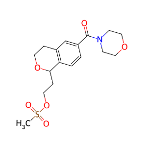 CS(=O)(=O)OCCC1OCCc2cc(C(=O)N3CCOCC3)ccc21